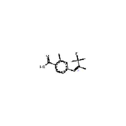 C/C(=C/c1ccc(C(=O)O)c(C)c1)C(F)(F)F